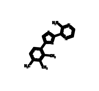 Cc1ccc(-c2csc(-c3nccnc3N)n2)c(C)c1C